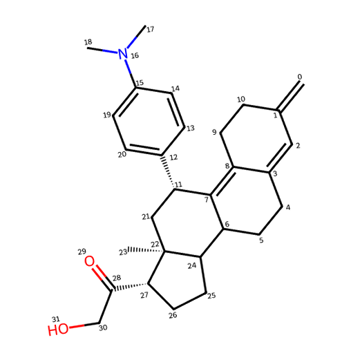 C=C1C=C2CCC3C(=C2CC1)[C@@H](c1ccc(N(C)C)cc1)C[C@@]1(C)C3CC[C@@H]1C(=O)CO